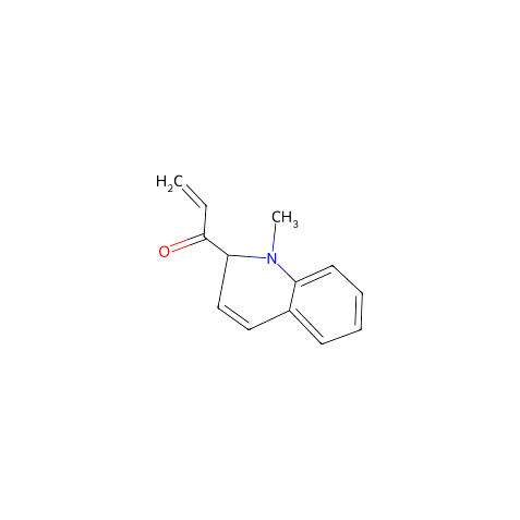 C=CC(=O)C1C=Cc2ccccc2N1C